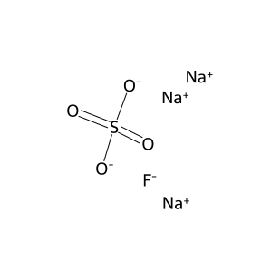 O=S(=O)([O-])[O-].[F-].[Na+].[Na+].[Na+]